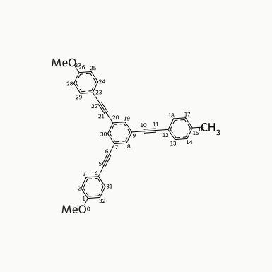 COc1ccc(C#Cc2cc(C#Cc3ccc(C)cc3)cc(C#Cc3ccc(OC)cc3)c2)cc1